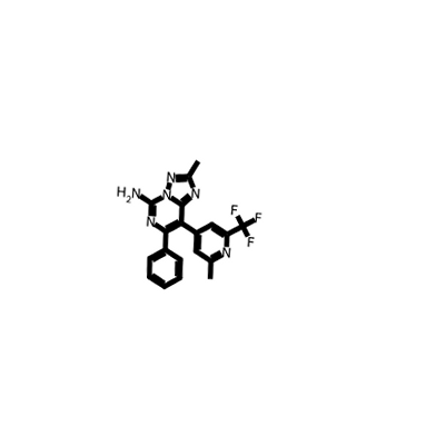 Cc1cc(-c2c(-c3ccccc3)nc(N)n3nc(C)nc23)cc(C(F)(F)F)n1